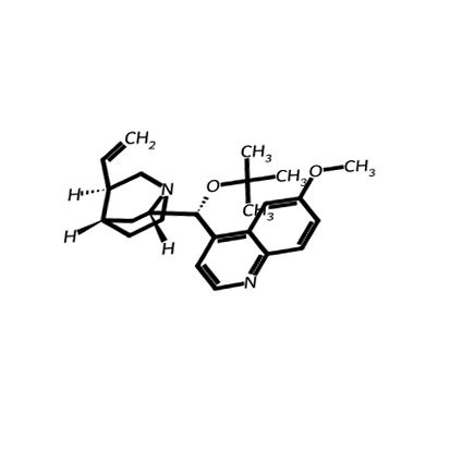 C=C[C@H]1CN2CC[C@H]1C[C@H]2[C@H](OC(C)(C)C)c1ccnc2ccc(OC)cc12